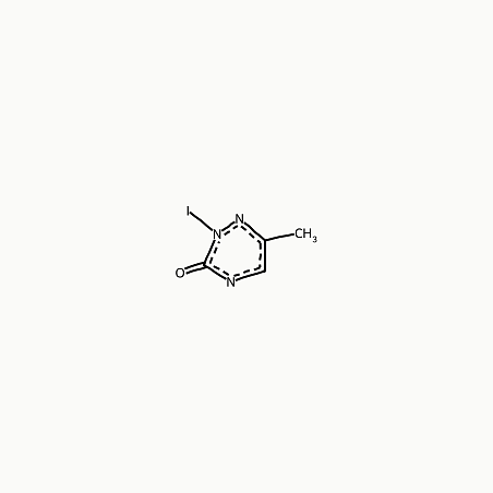 Cc1cnc(=O)n(I)n1